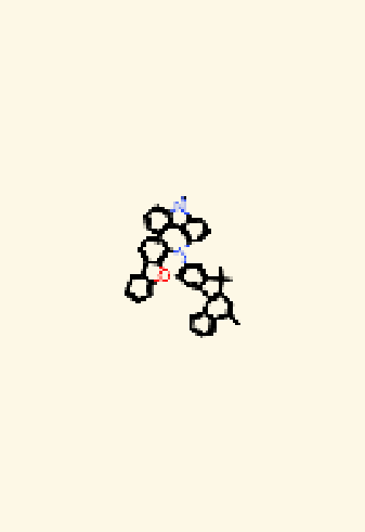 Cc1cc2c(c3ccccc13)-c1ccc(N(c3cccc4c3oc3ccccc34)c3cccc4c3c3ccccc3n4C)cc1C2(C)C